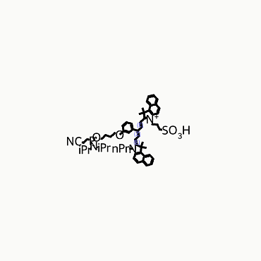 CCCN1/C(=C/C=C(/C=C/C2=[N+](CCCS(=O)(=O)O)c3ccc4ccccc4c3C2(C)C)c2cccc(OCCCCOP(CCC#N)N(C(C)C)C(C)C)c2)C(C)(C)c2c1ccc1ccccc21